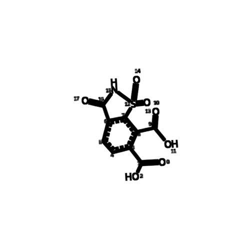 O=C(O)c1ccc2c(c1C(=O)O)S(=O)(=O)NC2=O